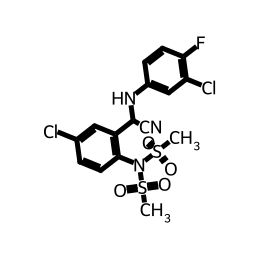 CS(=O)(=O)N(c1ccc(Cl)cc1C(C#N)Nc1ccc(F)c(Cl)c1)S(C)(=O)=O